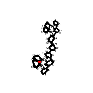 c1ccc(-n2c3ccccc3c3ccc4c5cc(-c6cccc(-c7ccc8c(c7)c7ccc9c%10ccccc%10n(-c%10ccccc%10)c9c7n8-c7ccccc7)c6)ccc5n(-c5ccccc5)c4c32)cc1